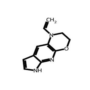 C=CN1CCOc2nc3[nH]ccc3cc21